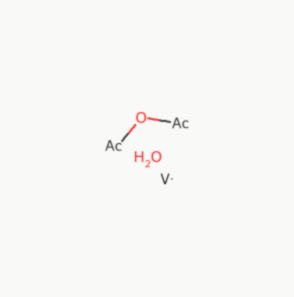 CC(=O)OC(C)=O.O.[V]